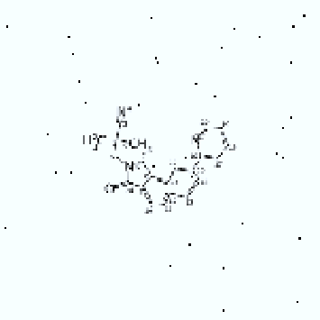 CC(C)(C#N)CN1Cc2c(ccc3ccc(-c4ccccn4)cc23)C1=O